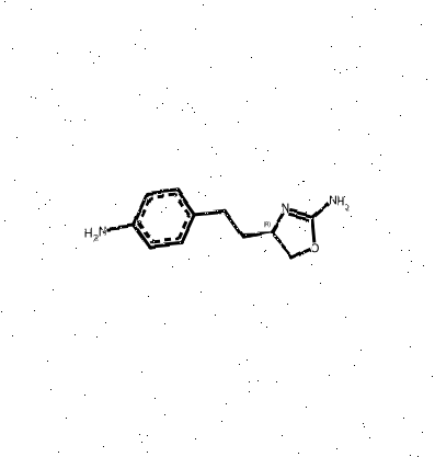 NC1=N[C@H](CCc2ccc(N)cc2)CO1